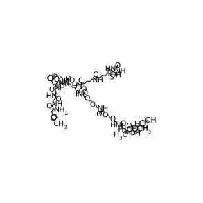 Cc1ccc(C[C@H](N)C(=O)NCC(=O)NCC(=O)N[C@@H](Cc2ccccc2)C(=O)NC(CC(C)C)C(=O)NCCCC[C@H](NC(=O)COCCOCCNC(=O)COCCOCCNC(=O)CC[C@H](C)[C@H]2CC[C@H]3[C@@H]4CC[C@@H]5C[C@H](O)CC[C@]5(C)[C@H]4C[C@H](O)[C@]23C)C(=O)N[C@@H](CCCCNC(=O)CCCC[C@@H]2SC[C@@H]3NC(=O)N[C@@H]32)C(=O)O)cc1